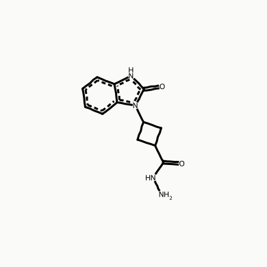 NNC(=O)C1CC(n2c(=O)[nH]c3ccccc32)C1